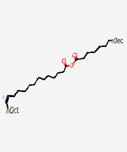 CCCCCCCC/C=C\CCCCCCCCCCCC(=O)OC(=O)CCCCCCCCCCCCCCCC